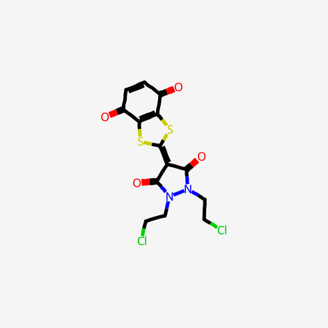 O=C1C=CC(=O)C2=C1SC(=C1C(=O)N(CCCl)N(CCCl)C1=O)S2